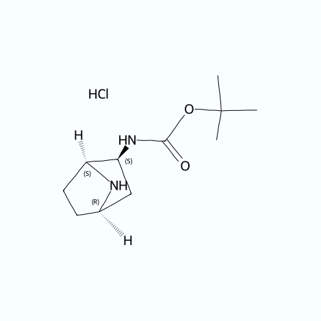 CC(C)(C)OC(=O)N[C@H]1C[C@H]2CC[C@@H]1N2.Cl